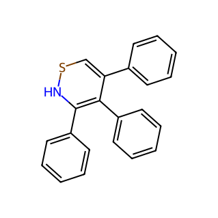 C1=C(c2ccccc2)C(c2ccccc2)=C(c2ccccc2)NS1